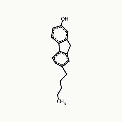 CCCCCc1ccc2c(c1)Cc1cc(O)ccc1-2